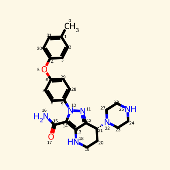 Cc1ccc(Oc2ccc(-n3nc4c(c3C(N)=O)NCC[C@H]4N3CCNCC3)cc2)cc1